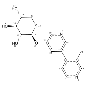 Cc1cnccc1-c1cncc(O[C@@H]2SC[C@@H](O)[C@H](O)[C@H]2O)c1